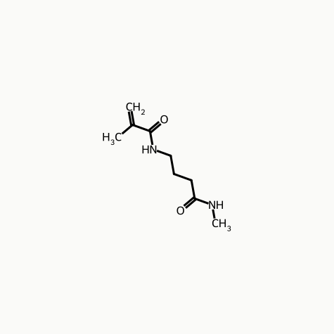 C=C(C)C(=O)NCCCC(=O)NC